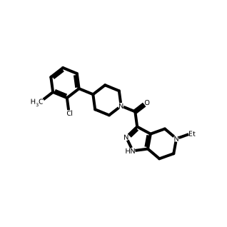 CCN1CCc2[nH]nc(C(=O)N3CCC(c4cccc(C)c4Cl)CC3)c2C1